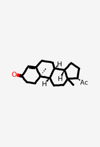 CC(=O)[C@H]1CC[C@H]2[C@@H]3CCC4=CC(=O)CC[C@]4(C)[C@H]3CCC12C